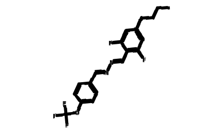 CCCCc1cc(F)c(C=NN=Cc2ccc(OC(F)(F)F)cc2)c(F)c1